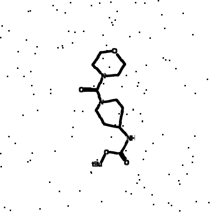 CC(C)(C)OC(=O)NC1CCN(C(=O)N2CCOCC2)CC1